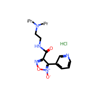 CC(C)N(CCNC(=O)c1no[n+]([O-])c1-c1cccnc1)C(C)C.Cl